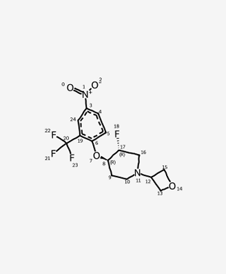 O=[N+]([O-])c1ccc(O[C@@H]2CCN(C3COC3)C[C@H]2F)c(C(F)(F)F)c1